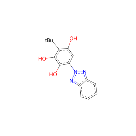 CC(C)(C)c1c(O)cc(-n2nc3ccccc3n2)c(O)c1O